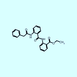 CCOC(=O)c1ccccc1NC(=O)c1ccccc1NC(=O)Cc1ccccc1